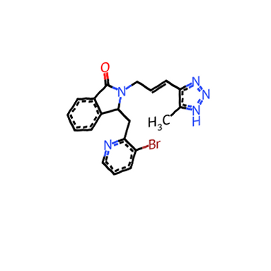 Cc1[nH]nnc1/C=C/CN1C(=O)c2ccccc2C1Cc1ncccc1Br